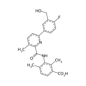 Cc1ccc(-c2ccc(F)c(CO)c2)nc1C(=O)Nc1c(C)ccc(C(=O)O)c1C